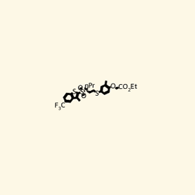 CCCN(CCSc1ccc(OCC(=O)OCC)c(C)c1)S(=O)(=O)c1sc2ccc(C(F)(F)F)cc2c1C